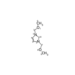 COCN1C=CN(COC)C1